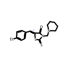 CCc1ccc(/C=C2\SC(=S)N(CN3CCCCC3)C2=O)cc1